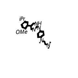 COc1ccc(C(C)C)cc1-c1cnc(Nc2ccc(N(C)CCN(C)C)cc2)nc1